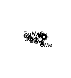 CO/N=C(\CN(C1CC1)S(=O)(=O)c1ncn(S(=O)(=O)N(C)C)n1)c1cccc(OC)c1